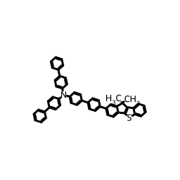 CC1(C)c2cc(-c3ccc(-c4ccc(N(c5ccc(-c6ccccc6)cc5)c5ccc(-c6ccccc6)cc5)cc4)cc3)ccc2-c2sc3ccccc3c21